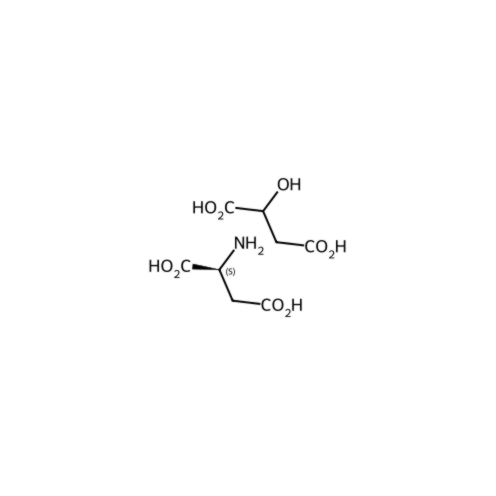 N[C@@H](CC(=O)O)C(=O)O.O=C(O)CC(O)C(=O)O